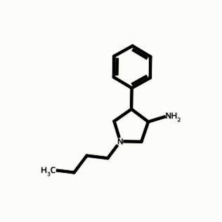 CCCCN1CC(N)C(c2ccccc2)C1